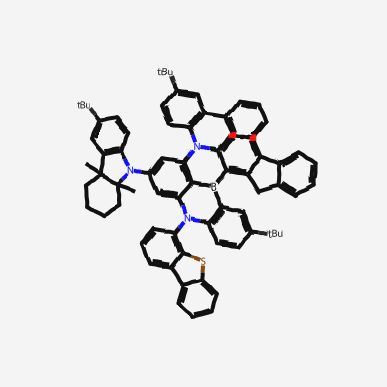 CC(C)(C)c1ccc2c(c1)B1c3c(cc(N4c5ccc(C(C)(C)C)cc5C5(C)CCCCC45C)cc3N2c2cccc3c2sc2ccccc23)N(c2ccc(C(C)(C)C)cc2-c2ccccc2)c2ccc3c(c21)Cc1ccccc1-3